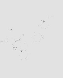 Cc1ccc(-c2ccc(Cc3cc4c(=O)n([C@H]5COCC[C@@H]5O)cnc4c4ccccc34)cn2)cn1